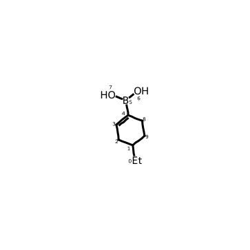 CCC1CC=C(B(O)O)CC1